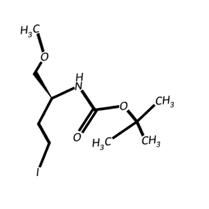 COC[C@H](CCI)NC(=O)OC(C)(C)C